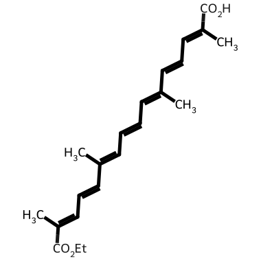 CCOC(=O)/C(C)=C/C=C/C(C)=C/C=C/C=C(C)/C=C/C=C(\C)C(=O)O